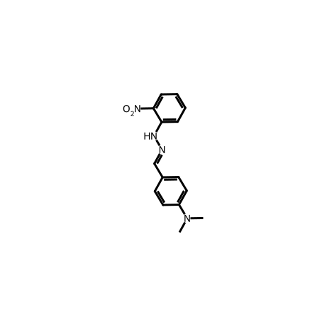 CN(C)c1ccc(/C=N/Nc2ccccc2[N+](=O)[O-])cc1